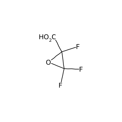 O=C(O)C1(F)OC1(F)F